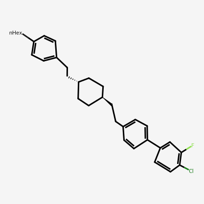 CCCCCCc1ccc(CC[C@H]2CC[C@H](CCc3ccc(-c4ccc(Cl)c(F)c4)cc3)CC2)cc1